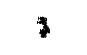 Cc1noc(-c2ccc(-c3ccc4c(c3)NCC4C(=O)O)cc2)c1NC(=O)OC(C)c1ccccc1